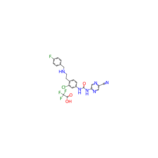 N#Cc1cnc(NC(=O)Nc2ccc(CCNCc3ccc(F)cc3)c(Cl)c2)cn1.O=C(O)C(F)(F)F